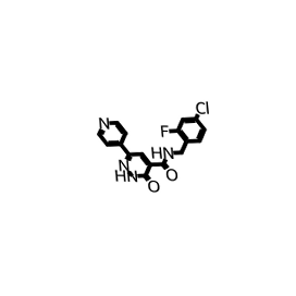 O=C(NCc1ccc(Cl)cc1F)c1cc(-c2ccncc2)n[nH]c1=O